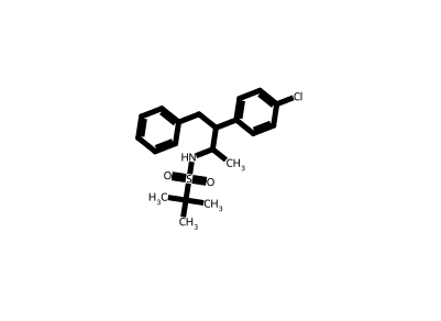 CC(NS(=O)(=O)C(C)(C)C)C(Cc1ccccc1)c1ccc(Cl)cc1